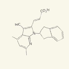 Cc1cc(C)c2c(C#N)c(C=CC(=O)O)n(C3Cc4ccccc4C3)c2n1